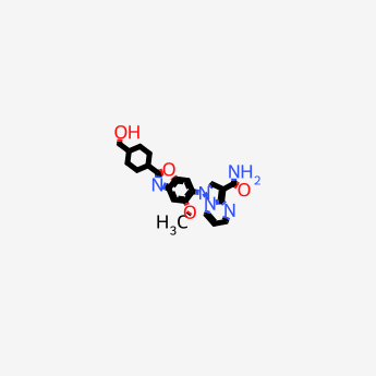 COc1cc2nc(C3CCC(CO)CC3)oc2cc1N1CC(C(N)=O)=C2N=CC=CN21